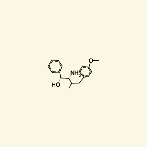 COc1ccc(CC(C)[C@@H](N)[C@H](O)c2ccccc2)cc1